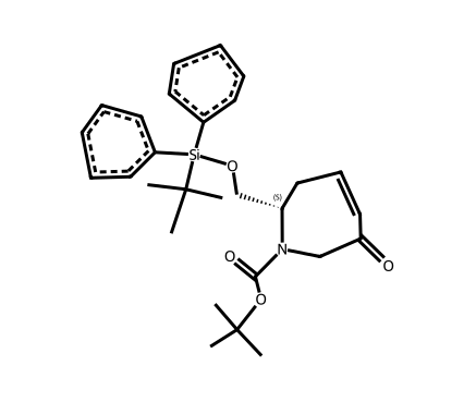 CC(C)(C)OC(=O)N1CC(=O)C=CC[C@H]1CO[Si](c1ccccc1)(c1ccccc1)C(C)(C)C